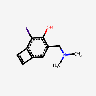 CN(C)Cc1cc2c(c(I)c1O)C=C2